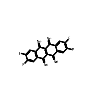 Fc1cc2c(=[Se])c3c(=[Se])c4cc(F)c(F)cc4c(=[Se])c=3c(=[Se])c2cc1F